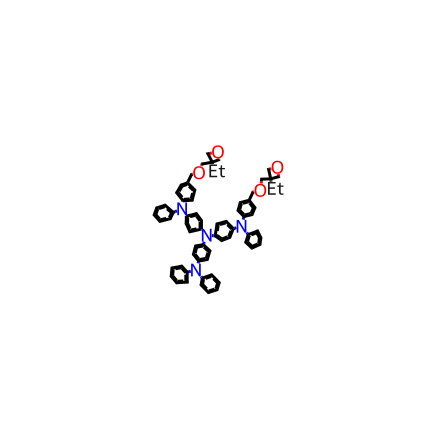 CCC1(COCc2ccc(N(c3ccccc3)c3ccc(N(c4ccc(N(c5ccccc5)c5ccccc5)cc4)c4ccc(N(c5ccccc5)c5ccc(COCC6(CC)COC6)cc5)cc4)cc3)cc2)COC1